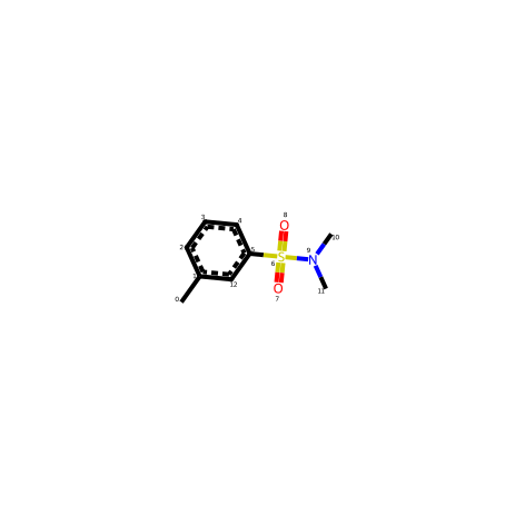 Cc1cccc(S(=O)(=O)N(C)C)c1